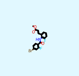 COC(=O)C=Cc1cccc(F)c1NC(=O)c1ccc(Br)cc1F